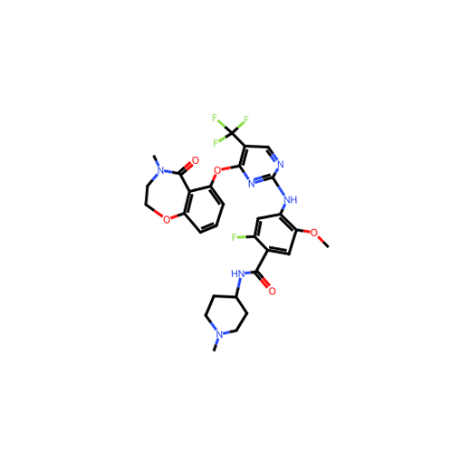 COc1cc(C(=O)NC2CCN(C)CC2)c(F)cc1Nc1ncc(C(F)(F)F)c(Oc2cccc3c2C(=O)N(C)CCO3)n1